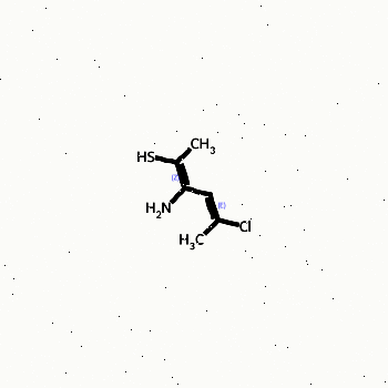 C/C(S)=C(N)\C=C(/C)Cl